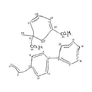 C=Cc1ccc(-c2ccccc2)cc1.CC1(C(=O)O)C=CC=C(C(=O)O)C1